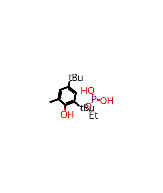 CCOP(O)O.Cc1cc(C(C)(C)C)cc(C(C)(C)C)c1O